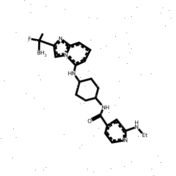 BC(C)(F)c1cn2c(NC3CCC(NC(=O)c4ccnc(NCC)c4)CC3)cccc2n1